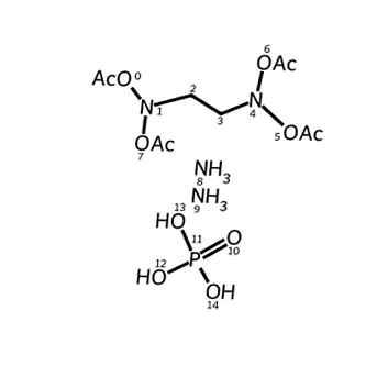 CC(=O)ON(CCN(OC(C)=O)OC(C)=O)OC(C)=O.N.N.O=P(O)(O)O